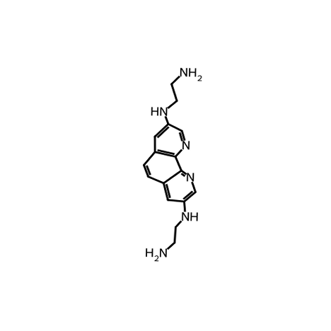 NCCNc1cnc2c(ccc3cc(NCCN)cnc32)c1